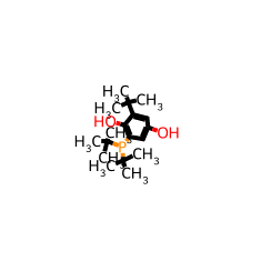 CC(C)(C)c1cc(O)cc(P(C(C)(C)C)C(C)(C)C)c1O